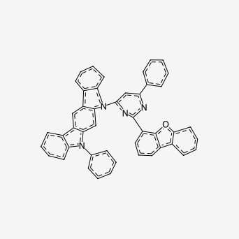 c1ccc(-c2cc(-n3c4ccccc4c4cc5c6ccccc6n(-c6ccccc6)c5cc43)nc(-c3cccc4c3oc3ccccc34)n2)cc1